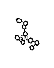 c1ccc(-c2ccccc2-c2ccc(N(c3ccc(-c4ccc5c(-c6ccccc6)cccc5c4)cc3)c3cccc4c3sc3ccccc34)cc2)cc1